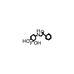 O=C(CNC1=CC=C(O)C(O)(F)C1)c1ccccc1